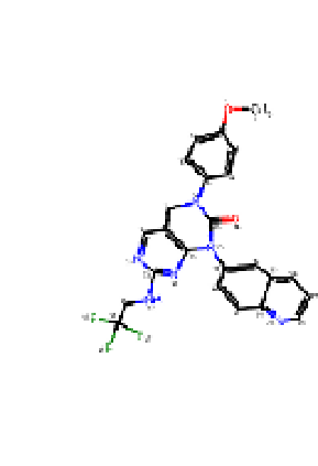 COc1ccc(N2Cc3cnc(NCC(F)(F)F)nc3N(c3ccc4ncccc4c3)C2=O)cc1